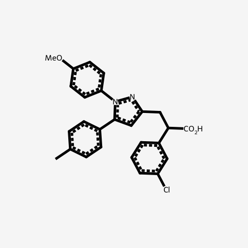 COc1ccc(-n2nc(CC(C(=O)O)c3cccc(Cl)c3)cc2-c2ccc(C)cc2)cc1